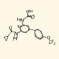 CC(C)(C)C(=O)Nc1cc(-c2ccc(OC(F)(F)F)cc2)cc(NC(=O)C2CC2)n1